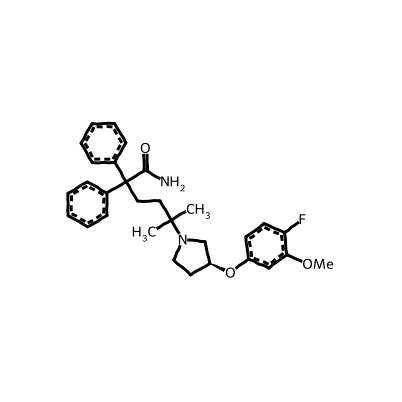 COc1cc(O[C@H]2CCN(C(C)(C)CCC(C(N)=O)(c3ccccc3)c3ccccc3)C2)ccc1F